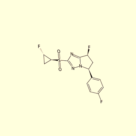 O=S(=O)(c1nc2n(n1)[C@H](c1ccc(F)cc1)C[C@@H]2F)[C@H]1C[C@@H]1F